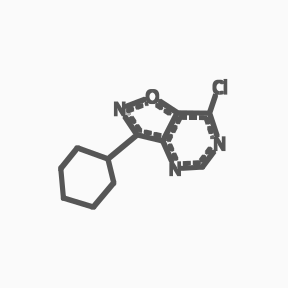 Clc1ncnc2c(C3CCCCC3)noc12